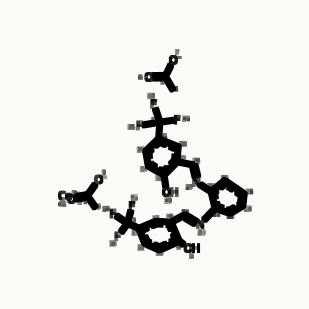 CC(=O)[O-].CC(=O)[O-].Oc1ccc(C(F)(F)F)cc1C=Nc1ccccc1N=Cc1cc(C(F)(F)F)ccc1O.[Co+2]